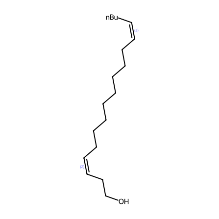 CCCC/C=C\CCCCCCCC/C=C\CCO